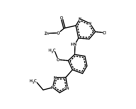 CCn1cnc(-c2cccc(Nc3cc(Cl)nnc3C(=O)[O][Zn])c2OC)n1